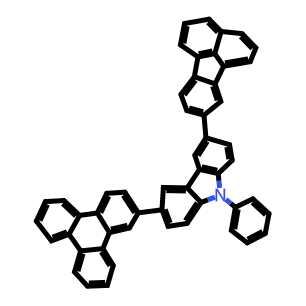 c1ccc(-n2c3ccc(-c4ccc5c(c4)-c4cccc6cccc-5c46)cc3c3cc(-c4ccc5c6ccccc6c6ccccc6c5c4)ccc32)cc1